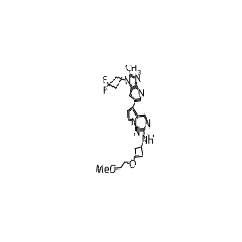 COCCO[C@H]1C[C@@H](Nc2ncc3c(-c4cnc5nc(C)n(C6CC(F)(F)C6)c5c4)ccn3n2)C1